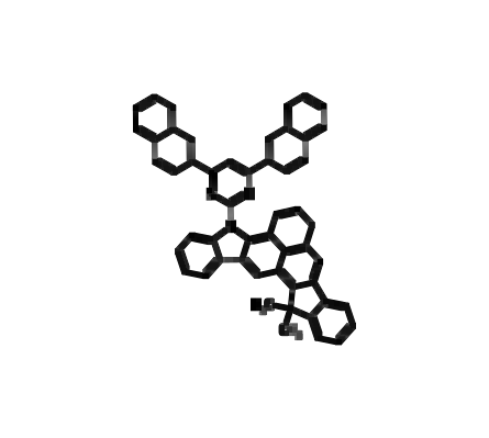 CC1(C)c2ccccc2-c2cc3c4c(c5c(cc4c21)c1ccccc1n5-c1nc(-c2ccc4ccccc4c2)cc(-c2ccc4ccccc4c2)n1)C=CC3